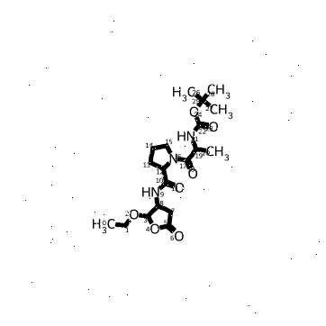 CCOC1OC(=O)CC1NC(=O)C1CCCN1C(=O)C(C)NC(=O)OC(C)(C)C